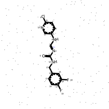 O=C(/N=C/Nc1ccc(Cl)nc1)NCc1ccc(F)c(F)c1